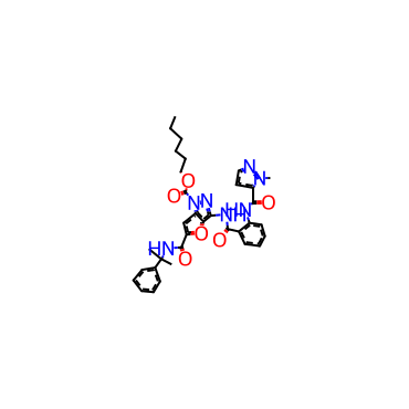 CCCCCCOC(=O)n1nc(NC(=O)c2ccccc2NC(=O)c2ccnn2C)c2oc(C(=O)NC(C)(C)c3ccccc3)cc21